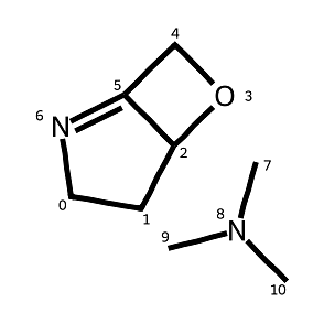 C1CC2OCC2=N1.CN(C)C